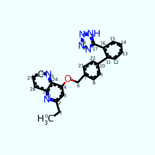 CCc1cc(OCc2ccc(-c3ccccc3-c3nnn[nH]3)cc2)c2ncccc2n1